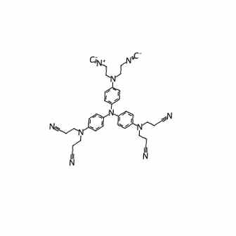 [C-]#[N+]CCN(CC[N+]#[C-])c1ccc(N(c2ccc(N(CCC#N)CCC#N)cc2)c2ccc(N(CCC#N)CCC#N)cc2)cc1